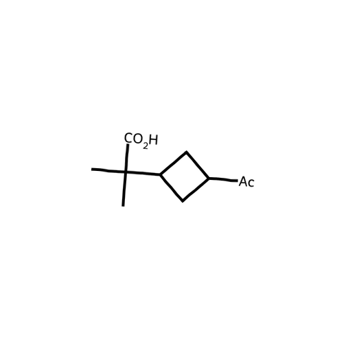 CC(=O)C1CC(C(C)(C)C(=O)O)C1